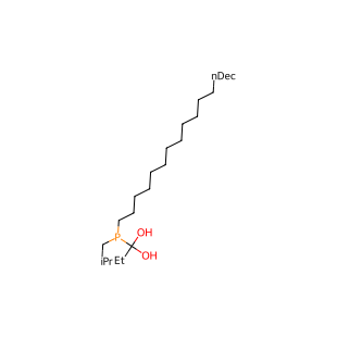 CCCCCCCCCCCCCCCCCCCCCCP(CC(C)C)C(O)(O)CC